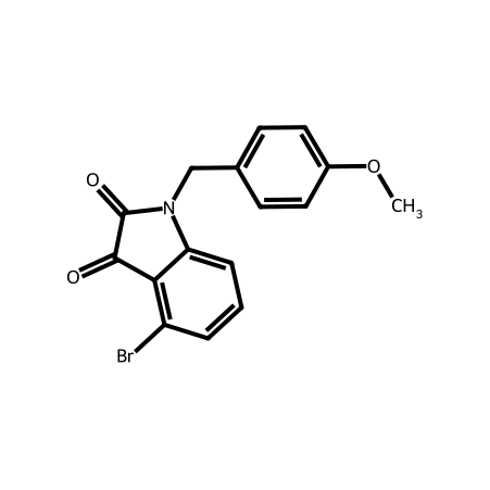 COc1ccc(CN2C(=O)C(=O)c3c(Br)cccc32)cc1